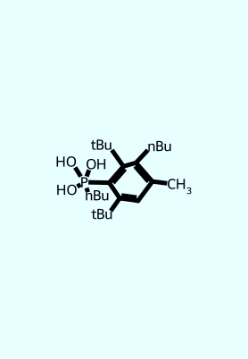 CCCCc1c(C)cc(C(C)(C)C)c(P(O)(O)(O)CCCC)c1C(C)(C)C